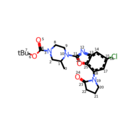 CC1CN(C(=O)OC(C)(C)C)CCN1c1nc2cc(Cl)cc(N3CCCC3=O)c2o1